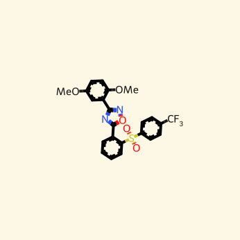 COc1ccc(OC)c(-c2noc(-c3ccccc3S(=O)(=O)c3ccc(C(F)(F)F)cc3)n2)c1